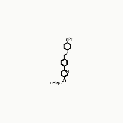 CCCCCCCOc1ccc(-c2ccc(CC[C@H]3CC[C@H](CCC)CC3)cc2)nc1